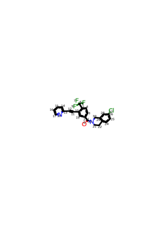 O=C(c1ccc(C(F)(F)F)c(C#Cc2ccccn2)c1)N1CCc2ccc(Cl)cc2C1